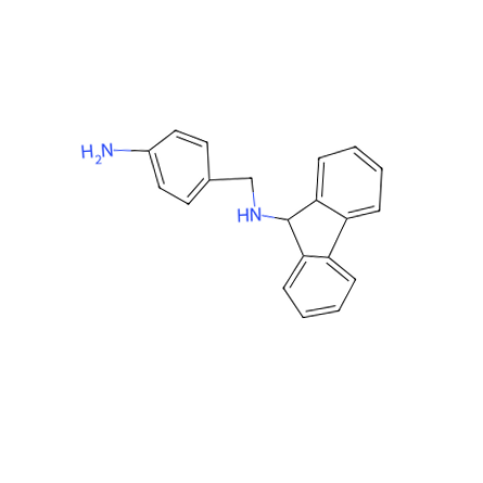 Nc1ccc(CNC2c3ccccc3-c3ccccc32)cc1